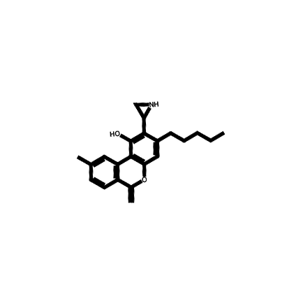 C=C1Oc2cc(CCCCC)c(C3CN3)c(O)c2-c2cc(C)ccc21